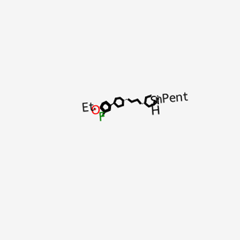 CCCCC[Si@H]1CC[C@H](CCCC[C@H]2CC[C@H](c3ccc(OCC)c(F)c3)CC2)CC1